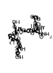 Cc1cccc2c(OC(=O)N(CCOCCO)CCN(C)C(=O)OCc3ccc(NC(=O)[C@H](CCCNC(N)=O)NC(=O)[C@@H](NC(=O)OCCN4C(=O)C=CC4=O)C(C)C)cc3)cc3c(c12)[C@H](CCl)CN3C(=O)c1cn2cc(NC(=O)C3=CC=C(O)CC3)ccc2n1